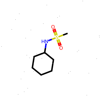 CS(=O)(=O)N[C]1CCCCC1